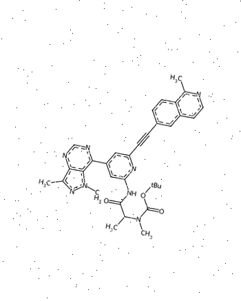 Cc1nccc2cc(C#Cc3cc(-c4ncnc5c(C)nn(C)c45)cc(NC(=O)C(C)N(C)C(=O)OC(C)(C)C)n3)ccc12